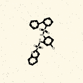 O=S(=O)(Nc1cc(Cl)ccc1NS(=O)(=O)c1ccccc1-c1ccccc1)c1cc2ccccc2o1